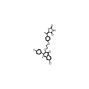 C/C(=C1\SC(=O)NC1=O)c1ccc(OCCOc2c(-c3ccc(F)cc3)n(C)c3cc(Cl)ccc3c2=O)cc1